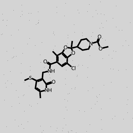 COC(=O)N1CCC(C2(C)Oc3c(Cl)cc(C(=O)NCc4c(SC)cc(C)[nH]c4=O)c(C)c3O2)CC1